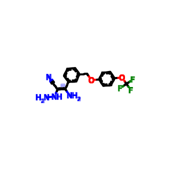 N#C/C(NN)=C(/N)c1cccc(COc2ccc(OC(F)(F)F)cc2)c1